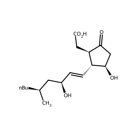 CCCC[C@H](C)C[C@H](O)/C=C/[C@H]1[C@H](O)CC(=O)[C@@H]1CC(=O)O